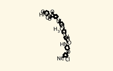 CC1(CN2CCC3(CC2)CN(c2ccc4c(c2)C(=O)N(C2CCC(=O)NC2=O)C4=O)C3)CCN(c2ccc(C(=O)N[C@H]3CC[C@H](Oc4ccc(C#N)c(Cl)c4)CC3)nn2)CC1